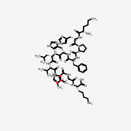 CCCC[C@H](N)C(=O)N[C@@H](Cc1c[nH]cn1)C(=O)N1CCC[C@H]1C(=O)N[C@@H](Cc1ccccc1)C(=O)N[C@@H](Cc1c[nH]cn1)C(=O)N[C@@H](CC(C)C)C(=O)N[C@H](C(=O)N[C@H](C(=O)N[C@@H](Cc1c[nH]cn1)C(=O)N[C@@H](CCCCN)C(=O)O)[C@@H](C)CC)C(C)C